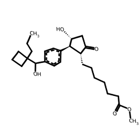 CCCC1(C(O)c2ccc([C@H]3[C@H](O)CC(=O)[C@@H]3CCCCCCC(=O)OC)cc2)CCC1